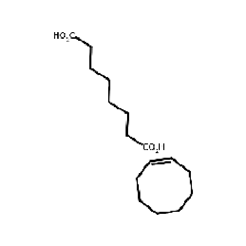 C1=C\CCCCCC/1.O=C(O)CCCCCCC(=O)O